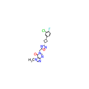 Cn1cnc2ncn(Cc3nc([C@H]4C[C@H](c5ccc(F)c(Cl)c5)C4)no3)c(=O)c21